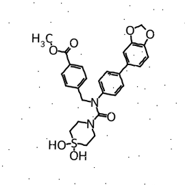 COC(=O)c1ccc(CN(C(=O)N2CCS(O)(O)CC2)c2ccc(-c3ccc4c(c3)OCO4)cc2)cc1